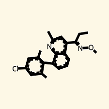 CCC(=NOC)c1cc(C)nc2c(-c3c(C)cc(Cl)cc3C)cccc12